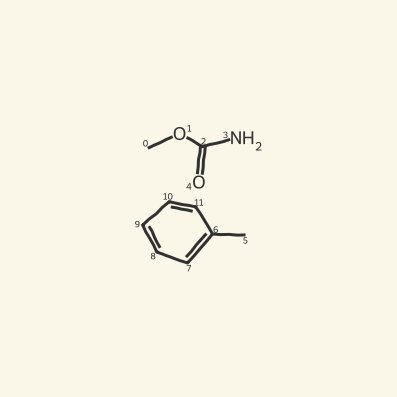 COC(N)=O.Cc1ccccc1